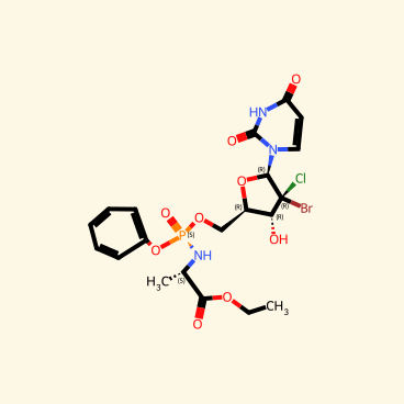 CCOC(=O)[C@H](C)N[P@](=O)(OC[C@H]1O[C@@H](n2ccc(=O)[nH]c2=O)[C@](Cl)(Br)[C@@H]1O)Oc1ccccc1